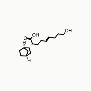 O=C(O)C(CC/C=C/CCCO)[C@@H]1C[C@H]2CC[C@H]1C2